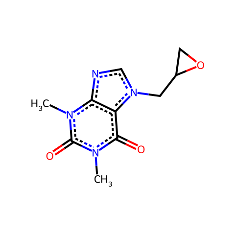 Cn1c(=O)c2c(ncn2CC2CO2)n(C)c1=O